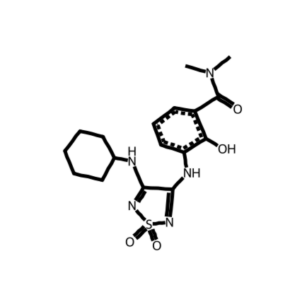 CN(C)C(=O)c1cccc(NC2=NS(=O)(=O)N=C2NC2CCCCC2)c1O